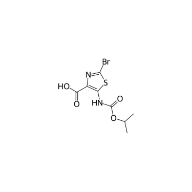 CC(C)OC(=O)Nc1sc(Br)nc1C(=O)O